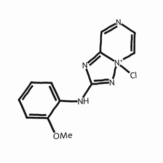 COc1ccccc1NC1=N[N+]2(Cl)C=CN=CC2=N1